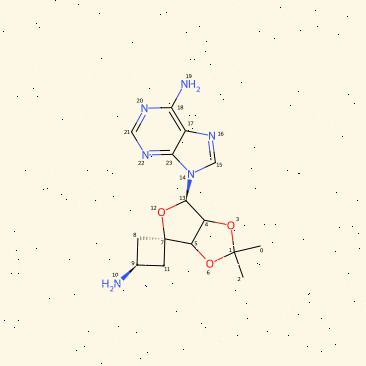 CC1(C)OC2C(O1)[C@]1(C[C@H](N)C1)O[C@H]2n1cnc2c(N)ncnc21